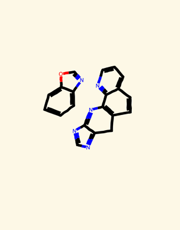 C1=NC2=Nc3c(ccc4cccnc34)CC2=N1.c1ccc2ocnc2c1